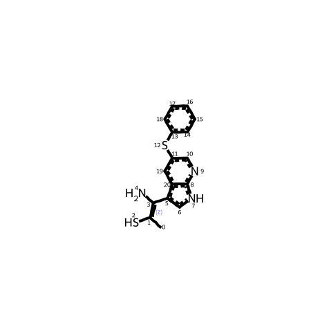 C/C(S)=C(/N)c1c[nH]c2ncc(Sc3ccccc3)cc12